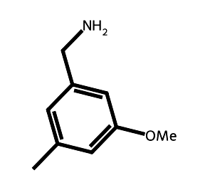 COc1cc(C)cc(CN)c1